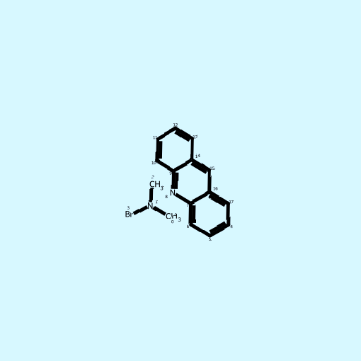 CN(C)Br.c1ccc2nc3ccccc3cc2c1